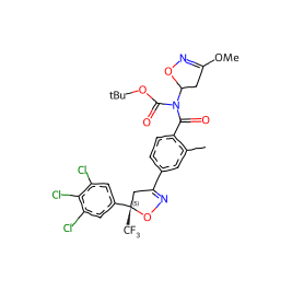 COC1=NOC(N(C(=O)OC(C)(C)C)C(=O)c2ccc(C3=NO[C@@](c4cc(Cl)c(Cl)c(Cl)c4)(C(F)(F)F)C3)cc2C)C1